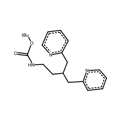 CC(C)(C)OC(=O)NCCC(Cc1ccccn1)Cc1ccccn1